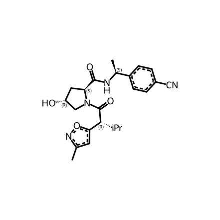 Cc1cc([C@H](C(=O)N2C[C@H](O)C[C@H]2C(=O)N[C@@H](C)c2ccc(C#N)cc2)C(C)C)on1